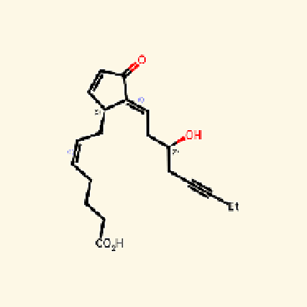 CCC#CC[C@H](O)C/C=C1/C(=O)C=C[C@@H]1C/C=C\CCCC(=O)O